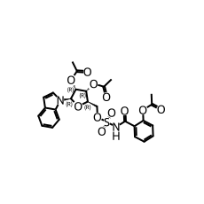 CC(=O)Oc1ccccc1C(=O)NS(=O)(=O)OC[C@H]1O[C@@H](n2ccc3ccccc32)[C@H](OC(C)=O)[C@@H]1OC(C)=O